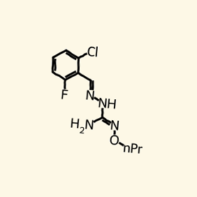 CCCO/N=C(\N)N/N=C/c1c(F)cccc1Cl